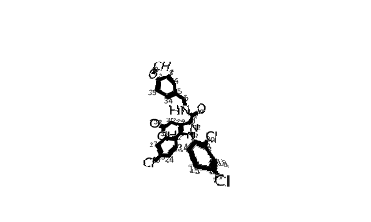 COc1ccc(CNC(=O)c2nn(-c3ccc(Cl)cc3Cl)c(-c3ccc(Cl)cc3)c2CC(=O)O)cc1